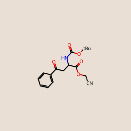 CC(C)(C)OC(=O)NC(CC(=O)c1ccccc1)C(=O)OCC#N